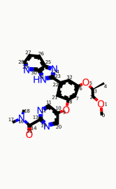 COC[C@H](C)Oc1cc(Oc2cnc(C(=O)N(C)C)nc2)cc(-c2nc3cccnc3[nH]2)c1